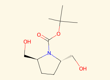 CC(C)(C)OC(=O)N1[C@H](CO)CC[C@H]1CO